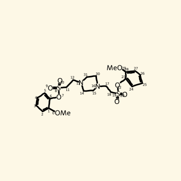 COc1ccccc1OS(=O)(=O)CCN1CCN(CCS(=O)(=O)Oc2ccccc2OC)CC1